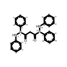 O=C(CC(=O)N(Nc1ccccc1)c1ccccc1)N(Nc1ccccc1)c1ccccc1